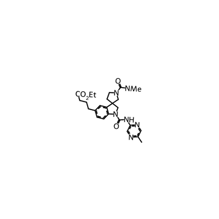 CCOC(=O)CCCc1ccc2c(c1)C1(CCN(C(=O)NC)C1)CN2C(=O)Nc1cnc(C)cn1